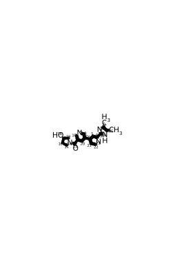 Cc1nc(-c2cc(-c3cncc(C(=O)N4CC[C@H](O)C4)c3)ccn2)[nH]c1C